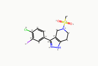 CS(=O)(=O)N1CCc2[nH]nc(-c3ccc(Cl)c(I)c3)c2C1